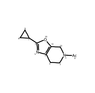 CC(=O)N1CCc2nc(C3CC3)oc2C1